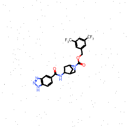 O=C(NC1CC2CC1CN2C(=O)OCc1cc(C(F)(F)F)cc(C(F)(F)F)c1)c1ccc2[nH]nnc2c1